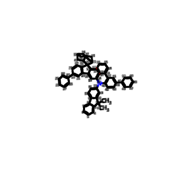 CC1(C)c2ccccc2-c2ccc(N(c3ccc4c(c3)-c3cc(-c5ccccc5)ccc3C43C4CC5CC(C4)C3C5)c3ccc(-c4ccccc4)cc3-c3ccccc3)cc21